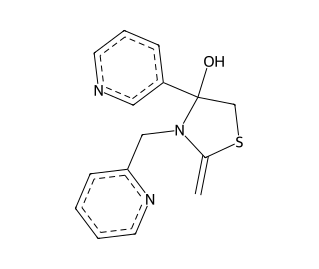 C=C1SCC(O)(c2cccnc2)N1Cc1ccccn1